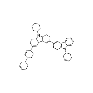 C1=CCC(C2=CCC(C3=CC4C5C=C(C6=Cc7c(n(C8CC=CCC8)c8ccccc78)CC6)CCC5N(C5CCCCC5)C4CC3)C=C2)CC1